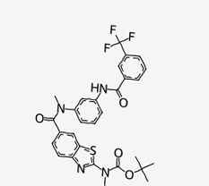 CN(C(=O)c1ccc2nc(N(C)C(=O)OC(C)(C)C)sc2c1)c1cccc(NC(=O)c2cccc(C(F)(F)F)c2)c1